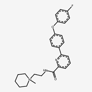 C[N+]1(CCNC(=O)c2cccc(-c3ccc(Oc4ccc(F)cc4)cc3)n2)CCCCC1